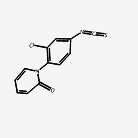 O=c1ccccn1-c1ccc(N=C=S)cc1Cl